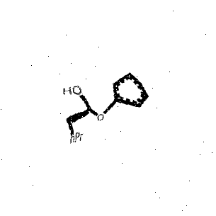 CCC/C=C(/O)Oc1ccccc1